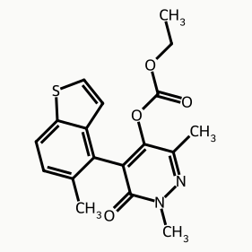 CCOC(=O)Oc1c(C)nn(C)c(=O)c1-c1c(C)ccc2sccc12